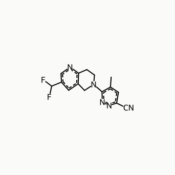 Cc1cc(C#N)nnc1N1CCc2ncc(C(F)F)cc2C1